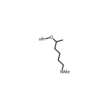 CCCOC(C)CCCCNC